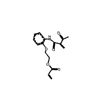 C=CC(=O)OCCOc1ccccc1NC(=O)C(=C)C(C)=O